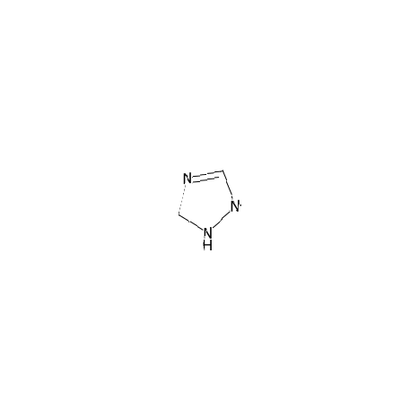 C1=NCN[N]1